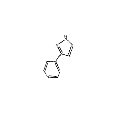 [c]1c[nH]nc1-c1ccncc1